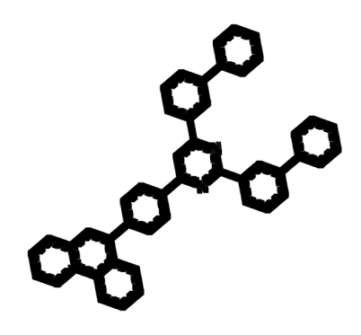 c1ccc(-c2cccc(-c3cc(-c4ccc(-c5cc6ccccc6c6ccccc56)cc4)nc(-c4cccc(-c5ccccc5)c4)n3)c2)cc1